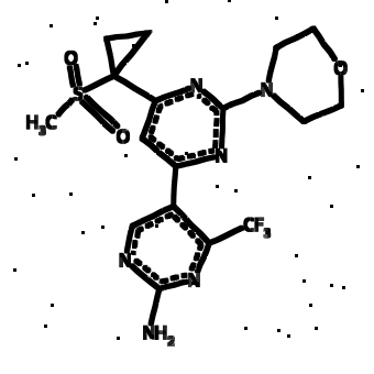 CS(=O)(=O)C1(c2cc(-c3cnc(N)nc3C(F)(F)F)nc(N3CCOCC3)n2)CC1